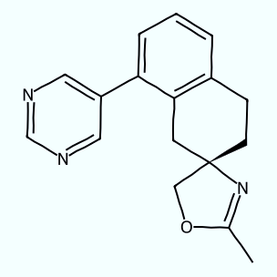 CC1=N[C@]2(CCc3cccc(-c4cncnc4)c3C2)CO1